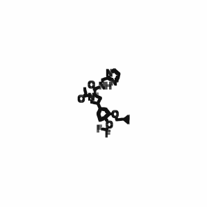 CC(=O)N1CC(c2ccc(OC(F)F)c(OCC3CC3)c2)C[C@@H]1C(=O)NCc1ncccn1